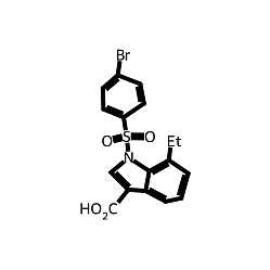 CCc1cccc2c(C(=O)O)cn(S(=O)(=O)c3ccc(Br)cc3)c12